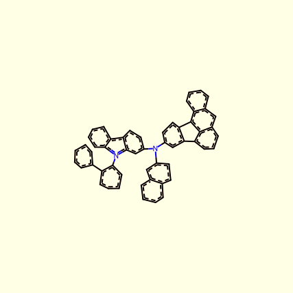 c1ccc(-c2ccccc2-n2c3ccccc3c3ccc(N(c4ccc5c(c4)-c4cccc6cc7ccccc7c-5c46)c4ccc5ccccc5c4)cc32)cc1